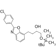 C[C@H](O[Si](C)(C)C(C)(C)C)[C@@H](O)CCc1cccc2nc(-c3ccc(Cl)cc3)oc12